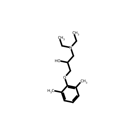 CCN(CC)CC(O)COc1c(C)c[c]cc1C